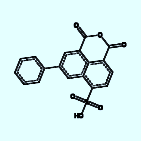 O=C1OC(=O)c2cc(-c3ccccc3)cc3c(S(=O)(=O)O)ccc1c23